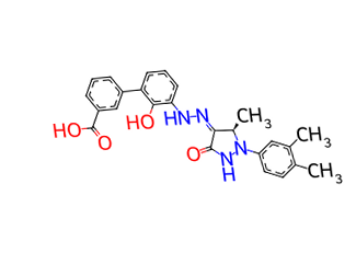 Cc1ccc(N2NC(=O)/C(=N\Nc3cccc(-c4cccc(C(=O)O)c4)c3O)[C@H]2C)cc1C